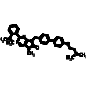 CC(C)c1ccccc1-c1ncc2c(n1)n(Cc1ccc(-c3ccc(OCCN(C)C)cc3)cc1)c(=O)n2C